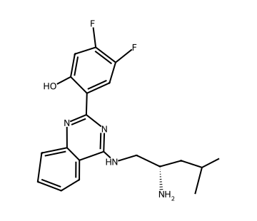 CC(C)C[C@H](N)CNc1nc(-c2cc(F)c(F)cc2O)nc2ccccc12